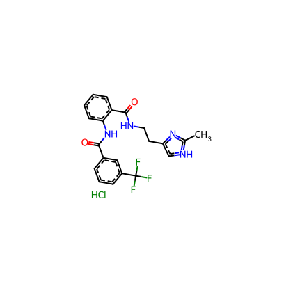 Cc1nc(CCNC(=O)c2ccccc2NC(=O)c2cccc(C(F)(F)F)c2)c[nH]1.Cl